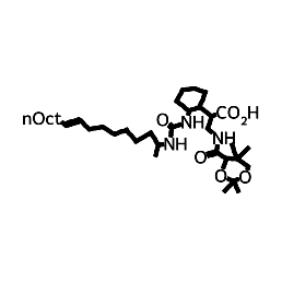 CCCCCCCCC=CCCCCCCC(C)NC(=O)NC1CCCCC1C(CNC(=O)C1OC(C)(C)OCC1(C)C)C(=O)O